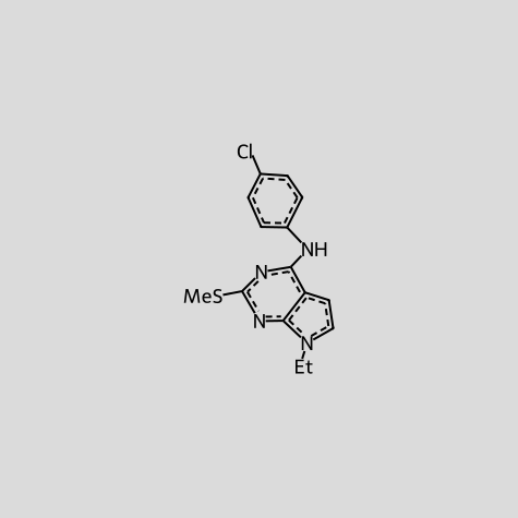 CCn1ccc2c(Nc3ccc(Cl)cc3)nc(SC)nc21